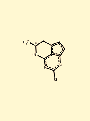 C[C@H]1Cn2ccc3nc(Cl)nc(c32)N1